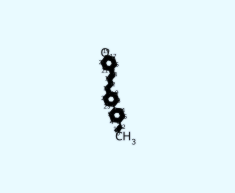 CCC[C@H]1CC[C@H](C2CCC(CC/C=C/C3CCC(=O)CC3)CC2)CC1